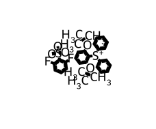 CC(C)(C)Oc1cccc(OC(C)(C)C)c1[S+](c1ccccc1)c1ccccc1.O=S(=O)([O-])c1c(F)cccc1F